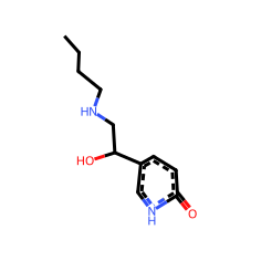 CCCCNCC(O)c1ccc(=O)[nH]c1